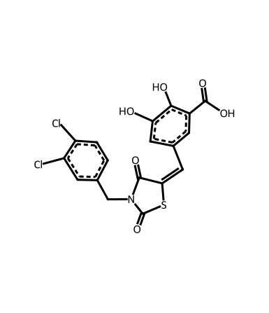 O=C(O)c1cc(C=C2SC(=O)N(Cc3ccc(Cl)c(Cl)c3)C2=O)cc(O)c1O